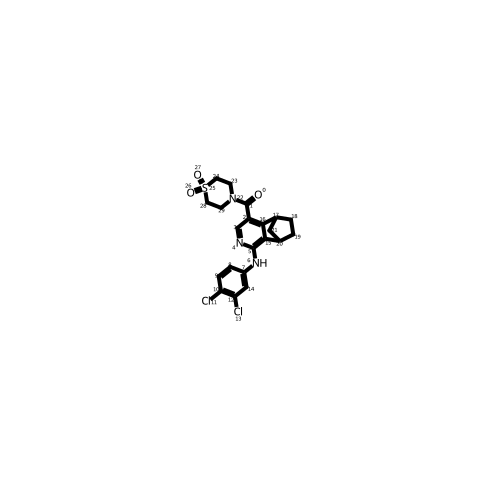 O=C(c1cnc(Nc2ccc(Cl)c(Cl)c2)c2c1C1CCC2C1)N1CCS(=O)(=O)CC1